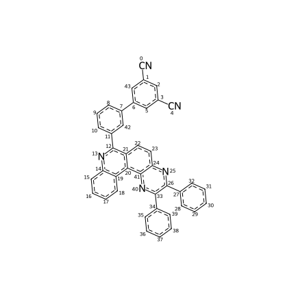 N#Cc1cc(C#N)cc(-c2cccc(-c3nc4ccccc4c4c3ccc3nc(-c5ccccc5)c(-c5ccccc5)nc34)c2)c1